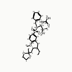 CCC(CCC1(C)OCCO1)Cc1cc(S(=O)(=O)N(Cc2ccccc2)[C@H](NC(=O)O)[C@@H](C)O)ccc1OC